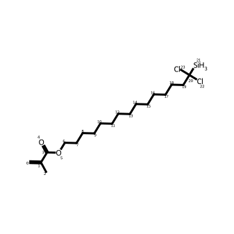 C=C(C)C(=O)OCCCCCCCCCCCCCCC([SiH3])(Cl)Cl